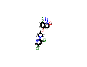 O=C1CCc2c(OCC3CCN(c4ncc(Cl)cc4Cl)CC3)ccc(F)c2N1